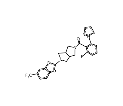 O=C(c1c(F)cccc1-n1nccn1)N1CC2CN(c3nc4cc(C(F)(F)F)ccc4o3)CC2C1